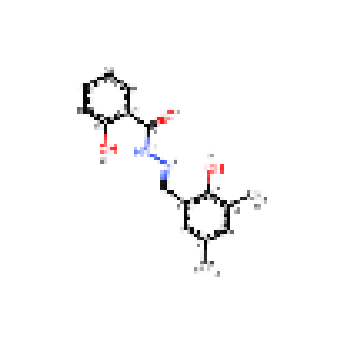 O=C(N/N=C/c1cc(C(F)(F)F)cc(C(F)(F)F)c1O)c1ccccc1O